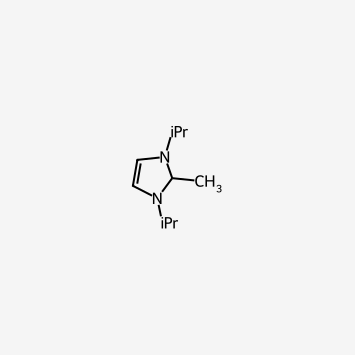 CC(C)N1C=CN(C(C)C)C1C